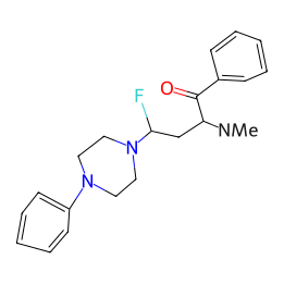 CNC(CC(F)N1CCN(c2ccccc2)CC1)C(=O)c1ccccc1